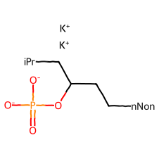 CCCCCCCCCCCC(CC(C)C)OP(=O)([O-])[O-].[K+].[K+]